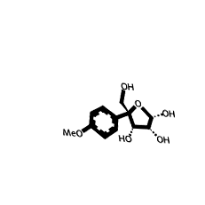 COc1ccc([C@]2(CO)O[C@H](O)[C@H](O)[C@@H]2O)cc1